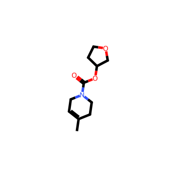 CC1=CCN(C(=O)OC2CCOC2)CC1